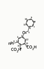 CCCc1cc(OCc2ccccc2)cc(C(=O)O)c1C(=O)O